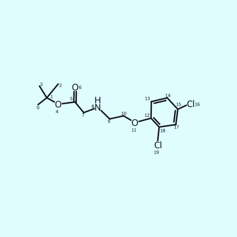 CC(C)(C)OC(=O)CNCCOc1ccc(Cl)cc1Cl